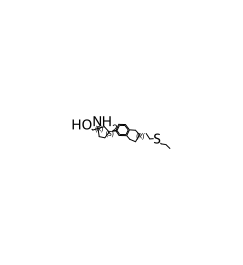 CCCSCC[C@@H]1CCc2cc([C@H]3CC[C@](N)(CO)C3)ccc2C1